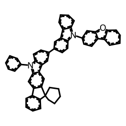 c1ccc(-n2c3ccc(-c4ccc5c(c4)c4ccccc4n5-c4ccc5c(c4)oc4ccccc45)cc3c3cc4c(cc32)-c2ccccc2C42CCCCC2)cc1